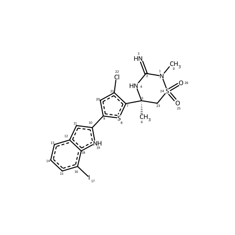 CN1C(=N)N[C@](C)(c2sc(-c3cc4cccc(I)c4[nH]3)cc2Cl)CS1(=O)=O